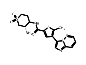 Cc1sc(C(=O)NC2CCS(=O)(=O)C[C@H]2N)cc1-c1cnc2cccnn12